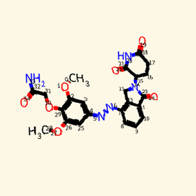 COc1cc(N=Nc2cccc3c2CN(C2CCC(=O)NC2=O)C3=O)cc(OC)c1OCC(N)=O